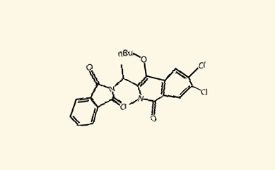 CCCCOc1c(C(C)N2C(=O)c3ccccc3C2=O)n(C)c(=O)c2cc(Cl)c(Cl)cc12